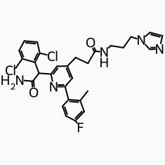 Cc1cc(F)ccc1-c1cc(CCC(=O)NCCCn2ccnc2)cc(C(C(N)=O)c2c(Cl)cccc2Cl)n1